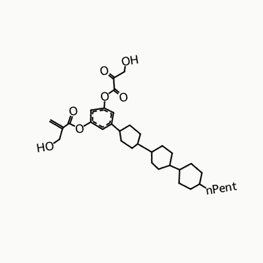 C=C(CO)C(=O)Oc1cc(OC(=O)C(=O)CO)cc(C2CCC(C3CCC(C4CCC(CCCCC)CC4)CC3)CC2)c1